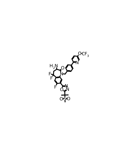 CC(C)(c1nnc(-c2cc3c(cc2F)C(F)(F)CC(N)C(=O)N3Cc2ccc(-c3ccc(OC(F)(F)F)cn3)cc2)o1)S(C)(=O)=O